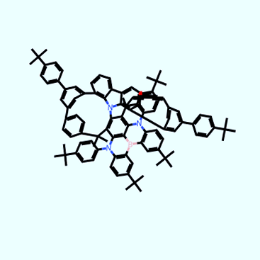 CC(C)(C)c1ccc(-c2cc3cc(c2)-c2cccc4c5cccc6c5n(c24)-c2c(c4c5c7c2C(C)(c2ccc(cc2)-c2cc(-c8ccc(C(C)(C)C)cc8)cc-6c2)c2cc(C(C)(C)C)ccc2N7c2ccc(C(C)(C)C)cc2B5c2cc(C(C)(C)C)ccc2N4c2ccc(C(C)(C)C)cc2)C(C)(C)c2ccc-3cc2)cc1